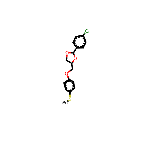 CCC(C)Sc1ccc(OCC2COC(c3ccc(Cl)cc3)O2)cc1